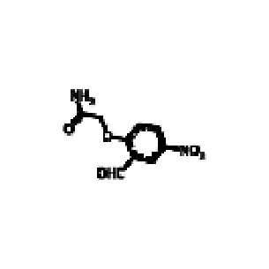 NC(=O)COc1ccc([N+](=O)[O-])cc1C=O